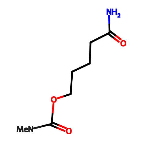 CNC(=O)OCCCCC(N)=O